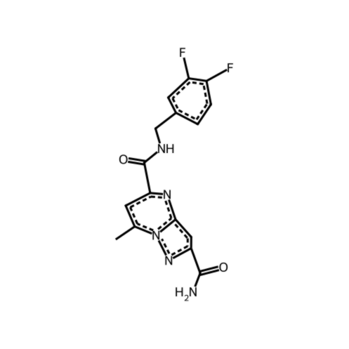 Cc1cc(C(=O)NCc2ccc(F)c(F)c2)nc2cc(C(N)=O)nn12